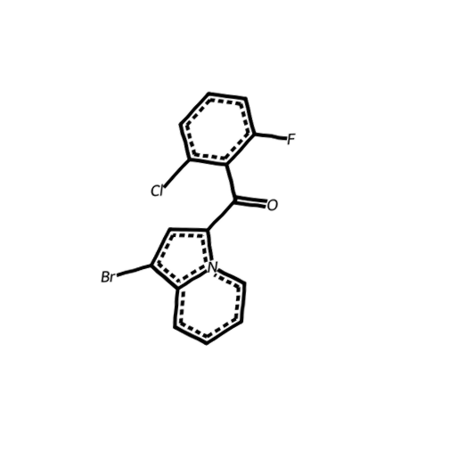 O=C(c1c(F)cccc1Cl)c1cc(Br)c2ccccn12